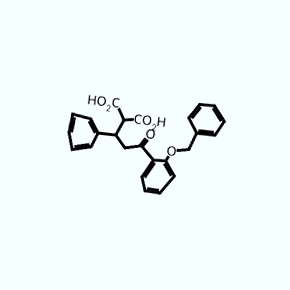 O=C(CC(c1ccccc1)C(C(=O)O)C(=O)O)c1ccccc1OCc1ccccc1